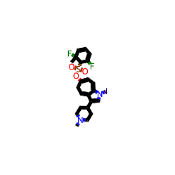 CN1CCC(c2cn(I)c3c2=CCC(OS(=O)(=O)C2C(F)=CC=CC2(C)F)=CC=3)CC1